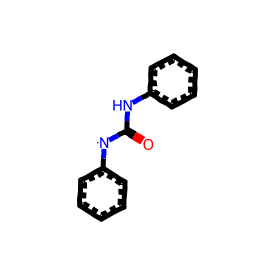 O=C([N]c1ccccc1)Nc1ccccc1